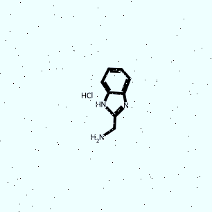 Cl.NCc1nc2ccccc2[nH]1